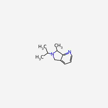 CC(C)N1Cc2cccnc2C1C